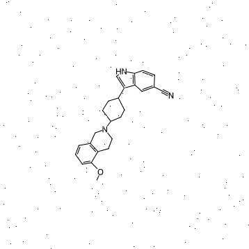 COc1cccc2c1CCN(C1CCC(c3c[nH]c4ccc(C#N)cc34)CC1)C2